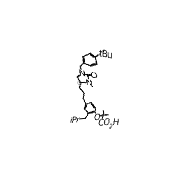 CC(C)Cc1cc(CCC[C@H]2CN(Cc3ccc(C(C)(C)C)cc3)C(=O)N2C)ccc1OC(C)(C)C(=O)O